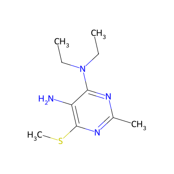 CCN(CC)c1nc(C)nc(SC)c1N